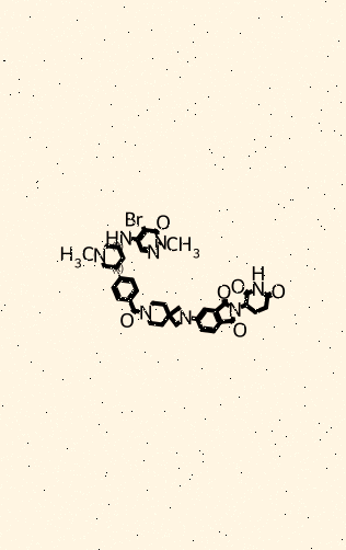 CN1C[C@H](Nc2cnn(C)c(=O)c2Br)C[C@H](c2ccc(C(=O)N3CCC4(CC3)CN(c3ccc5c(c3)C(=O)N(C3CCC(=O)NC3=O)C5=O)C4)cc2)C1